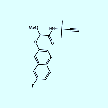 C#CC(C)(C)NC(=O)C(OC)Oc1cnc2ccc(I)cc2c1